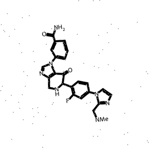 CNCc1nccn1-c1ccc(C2NCc3ncn(-c4cccc(C(N)=O)c4)c3C2=O)c(F)c1